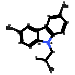 CC(C)[C@H](C)Cn1c2ccc(C(C)(C)C)cc2c2cc(C(C)(C)C)ccc21